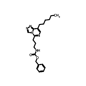 CCCCCCc1cnc(CCCNC(=O)OCc2ccccc2)n2cnnc12